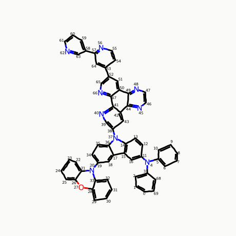 c1ccc(N(c2ccccc2)c2ccc3c(c2)c2cc(N4c5ccccc5Oc5ccccc54)ccc2n3-c2cnc3c(c2)c2nccnc2c2cc(-c4ccnc(-c5cccnc5)c4)cnc23)cc1